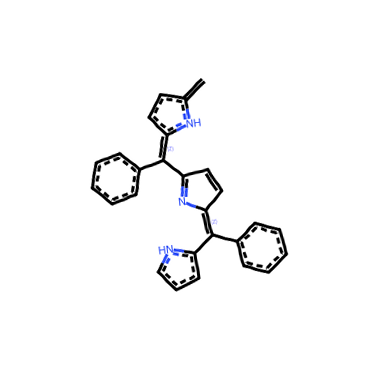 C=c1cc/c(=C(C2=N/C(=C(/c3ccccc3)c3ccc[nH]3)C=C2)\c2ccccc2)[nH]1